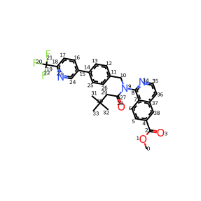 COC(=O)c1ccc2c(N(Cc3ccc(-c4ccc(C(F)(F)F)nc4)cc3)C(=O)CC(C)(C)C)nccc2c1